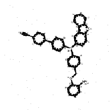 N#Cc1ccc(-c2ccc(N(c3ccc(COc4ccccc4N)cc3)c3ccc4sc5ccccc5c4c3)cc2)cc1